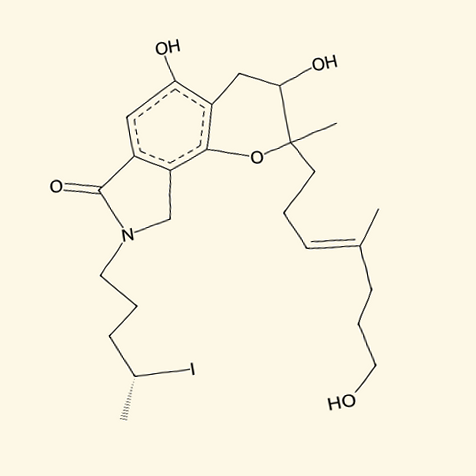 C/C(=C\CCC1(C)Oc2c(c(O)cc3c2CN(CCC[C@@H](C)I)C3=O)CC1O)CCCO